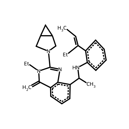 C=C1c2cccc(C(C)Nc3ccccc3/C(=C/C)CC)c2N=C(N2CC3CC3C2)N1CC